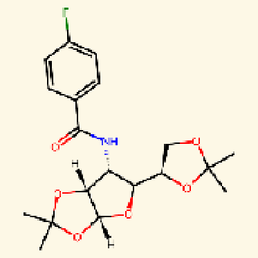 CC1(C)O[C@H]2O[C@H]([C@H]3COC(C)(C)O3)[C@@H](NC(=O)c3ccc(F)cc3)[C@H]2O1